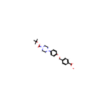 COC(=O)c1ccc(COc2ccc(N3CCN(C(=O)OC(C)(C)C)CC3)cc2)cc1